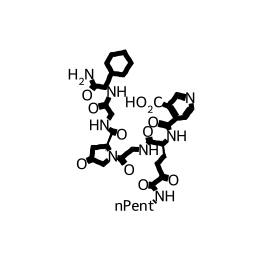 CCCCCNC(=O)C(=O)CC[C@H](NC(=O)c1ccncc1C(=O)O)C(=O)NCC(=O)N1CC(=O)C[C@H]1C(=O)NCC(=O)N[C@H](C(N)=O)C1CCCCC1